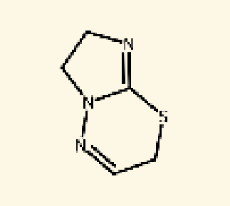 C1=NN2CCN=C2SC1